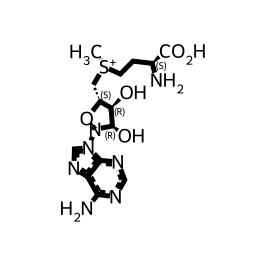 C[S+](CC[C@H](N)C(=O)O)C[C@H]1ON(n2cnc3c(N)ncnc32)[C@H](O)[C@@H]1O